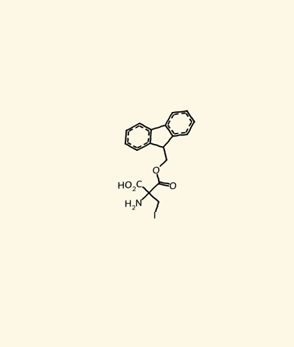 NC(CI)(C(=O)O)C(=O)OCC1c2ccccc2-c2ccccc21